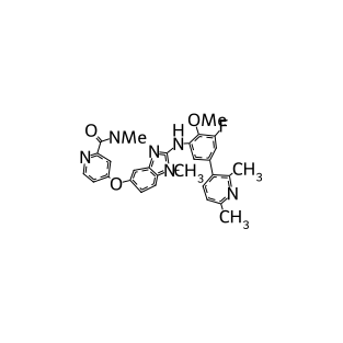 CNC(=O)c1cc(Oc2ccc3c(c2)nc(Nc2cc(-c4ccc(C)nc4C)cc(F)c2OC)n3C)ccn1